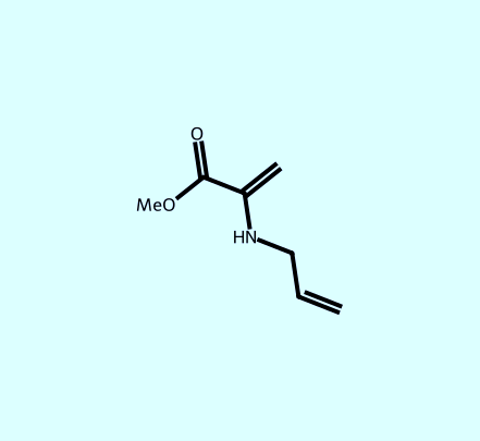 C=CCNC(=C)C(=O)OC